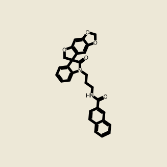 O=C(NCCCN1C(=O)C2(COc3cc4c(cc32)OCO4)c2ccccc21)c1ccc2ccccc2c1